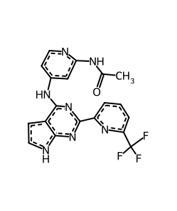 CC(=O)Nc1cc(Nc2nc(-c3cccc(C(F)(F)F)n3)nc3[nH]ccc23)ccn1